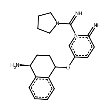 N=C(N1CCCC1)n1cc(OC2CC[C@H](N)c3ccccc32)ccc1=N